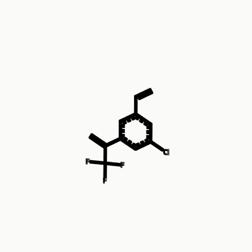 C=Cc1cc(Cl)cc(C(=C)C(F)(F)F)c1